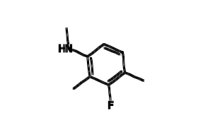 CNc1ccc(C)c(F)c1C